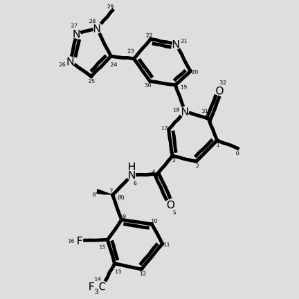 Cc1cc(C(=O)N[C@H](C)c2cccc(C(F)(F)F)c2F)cn(-c2cncc(-c3cnnn3C)c2)c1=O